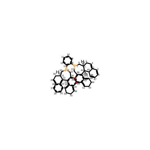 C1=CC2=CC[C@H]3CP(c4ccccc4P4Cc5ccc6c(c5C5=c7ccccc7=CC[C@H]5C4)=CCCC=6)Cc4ccc5c(c4[C@H]3C2C=C1)=CCCC=5